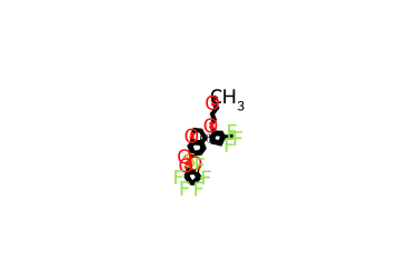 COCCCOc1cc(C(F)(F)F)ccc1[C@H]1CCOc2cc(S(=O)(=O)Oc3c(F)c(F)c(F)c(F)c3F)ccc21